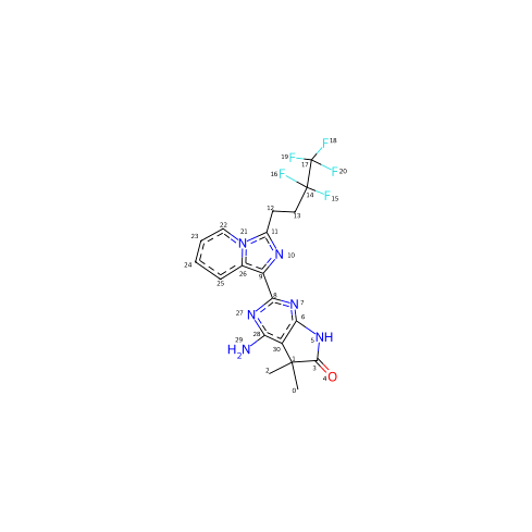 CC1(C)C(=O)Nc2nc(-c3nc(CCC(F)(F)C(F)(F)F)n4ccccc34)nc(N)c21